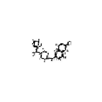 O=C(c1ncco1)C1CCN(Cc2ccc3cc(Cl)ccc3n2)CC1